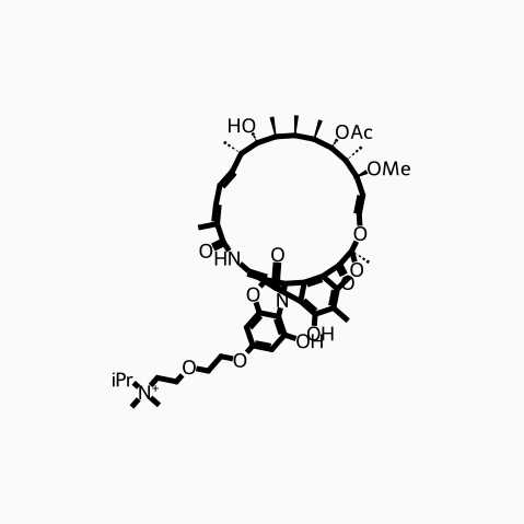 CO[C@H]1/C=C/O[C@@]2(C)Oc3c(C)c(O)c4c(=O)c(c5oc6cc(OCCOCC[N+](C)(C)C(C)C)cc(O)c6nc-5c4c3C2=O)NC(=O)/C(C)=C\C=C\[C@H](C)[C@H](O)[C@@H](C)[C@@H](C)[C@@H](C)[C@H](OC(C)=O)[C@@H]1C